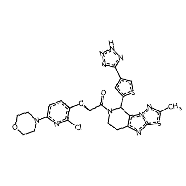 Cc1nn2c3c(nc2s1)CCN(C(=O)COc1ccc(N2CCOCC2)nc1Cl)C3c1cc(-c2nn[nH]n2)cs1